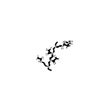 CCN(CCNC(=O)C(F)F)CCN(CCN(CCN(CC)CCNC(=O)C(F)(F)S(=O)(=O)O)C(=O)C(F)F)C(=O)C(F)F